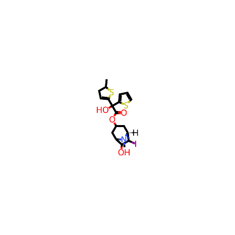 CC1CC=C(C(O)(C(=O)OC2CC3C(O)C(I)[C@H](C2)[N+]3(C)C)c2cccs2)S1